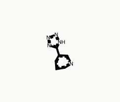 [c]1ncccc1-c1nnn[nH]1